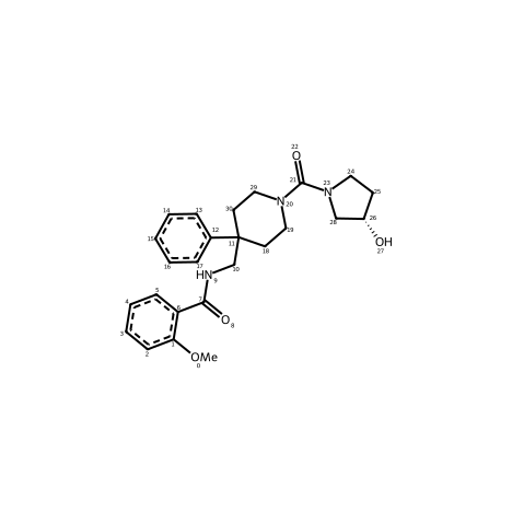 COc1ccccc1C(=O)NCC1(c2ccccc2)CCN(C(=O)N2CC[C@H](O)C2)CC1